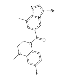 Cc1cc(C(=O)N2CCN(C)c3cc(F)ccc32)cn2c(Br)cnc12